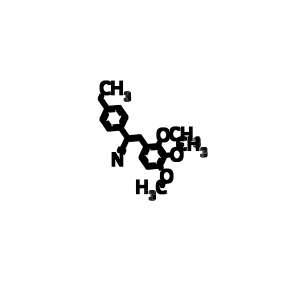 CCc1ccc(/C(C#N)=C/c2ccc(OC)c(OC)c2OC)cc1